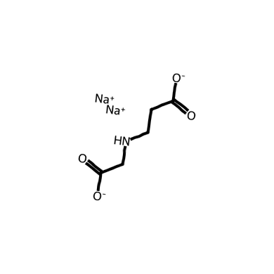 O=C([O-])CCNCC(=O)[O-].[Na+].[Na+]